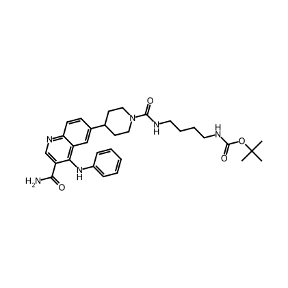 CC(C)(C)OC(=O)NCCCCNC(=O)N1CCC(c2ccc3ncc(C(N)=O)c(Nc4ccccc4)c3c2)CC1